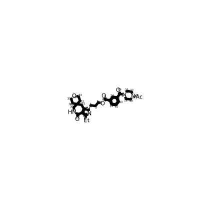 CCc1nn(CCCOC(=O)c2cccc(C(=O)N3CCN(C(C)=O)CC3)c2)c2c1C(=O)NCC1(CCOCC1)C2